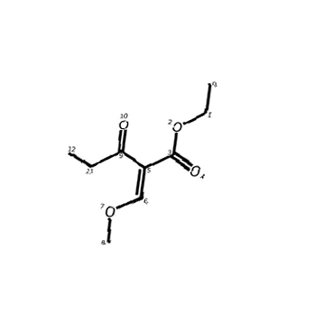 CCOC(=O)C(=COC)C(=O)CC